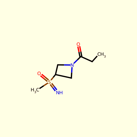 CCC(=O)N1CC(S(C)(=N)=O)C1